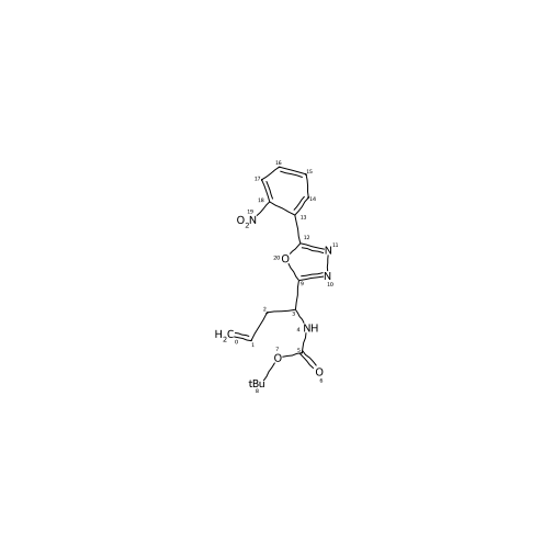 C=CCC(NC(=O)OC(C)(C)C)c1nnc(-c2ccccc2[N+](=O)[O-])o1